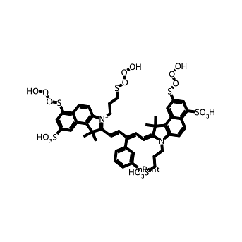 CCCCCc1cccc(C(=C\C=C2\N(CCCS(=O)(=O)O)c3ccc4c(S(=O)(=O)O)cc(SOOO)cc4c3C2(C)C)/C=C/C2=[N+](CCCSOOO)c3ccc4c(SOOO)cc(S(=O)(=O)O)cc4c3C2(C)C)c1